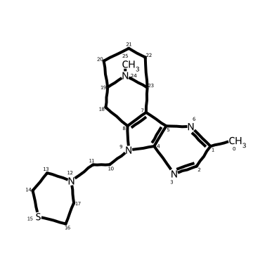 Cc1cnc2c(n1)c1c(n2CCN2CCSCC2)CC2CCCC1N2C